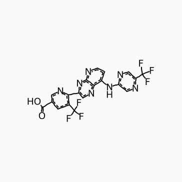 O=C(O)c1cnc(-c2cnc3c(Nc4cnc(C(F)(F)F)cn4)ccnc3n2)c(C(F)(F)F)c1